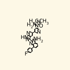 CN(C)C(=O)N(N)c1cncc(-c2cnc3[nH]nc(-c4nc5c(-c6ccc(F)cc6)cccc5n4N)c3c2)c1